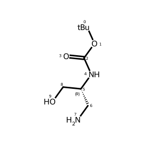 CC(C)(C)OC(=O)N[C@H](CN)CO